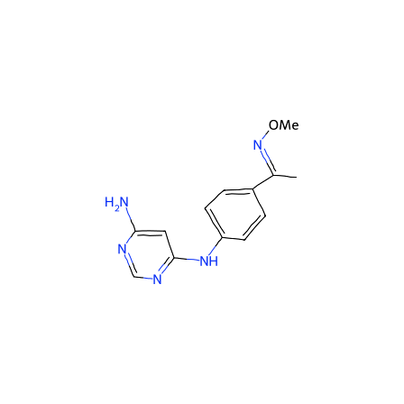 CON=C(C)c1ccc(Nc2cc(N)ncn2)cc1